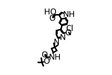 COc1nc(N2CC3(CC(NC(=O)OC(C)(C)C)C3)C2)ccc1-c1cc2c(C(=O)O)c[nH]c2cc1Cl